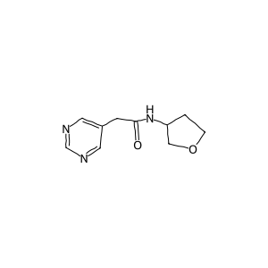 O=C(Cc1cncnc1)NC1CCOC1